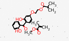 C=C(C)C(=O)OC.C=C(C)C(=O)OCCOc1ccc(C(=O)c2ccccc2O)c(O)c1